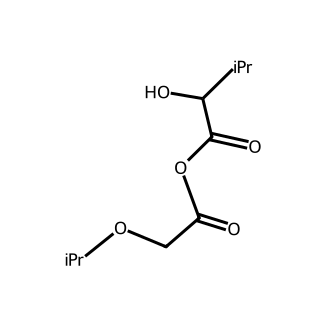 CC(C)OCC(=O)OC(=O)C(O)C(C)C